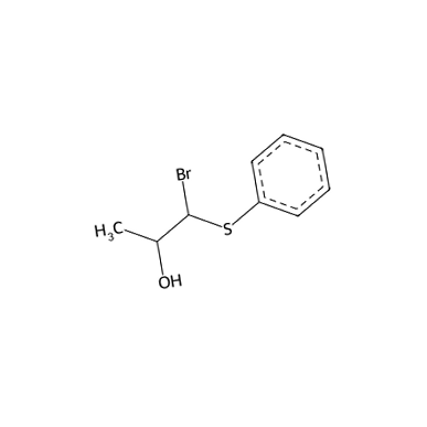 CC(O)C(Br)Sc1ccccc1